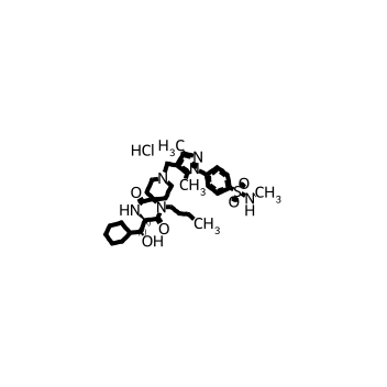 CCCCN1C(=O)[C@@H]([C@H](O)C2CCCCC2)NC(=O)C12CCN(Cc1c(C)nn(-c3ccc(S(=O)(=O)NC)cc3)c1C)CC2.Cl